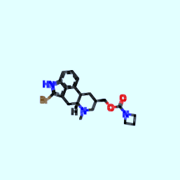 CN1C[C@H](COC(=O)N2CCC2)CC2c3cccc4[nH]c(Br)c(c34)C[C@H]21